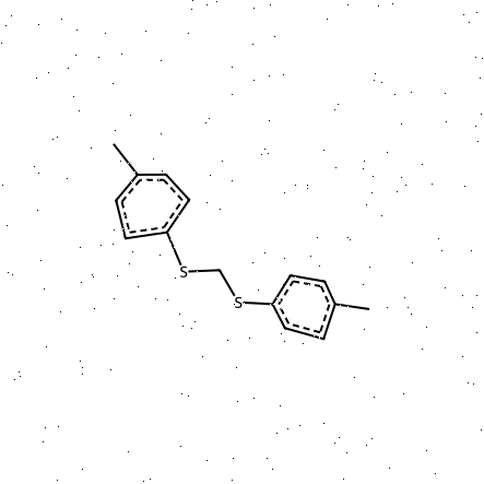 Cc1ccc(SCSc2ccc(C)cc2)cc1